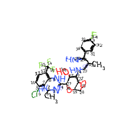 CC(=N)/N=C(\Nc1cc(Cl)ccc1C(F)(F)F)C1OC2COC2C(N/C=C(/C)C(=N)c2ccc(F)cc2)C1O